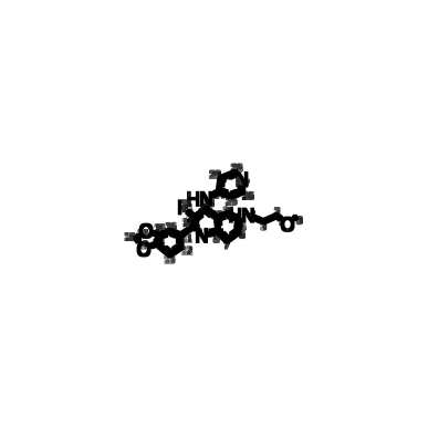 COCCNc1ccc2nc(-c3ccc4c(c3)OCO4)c(F)c(Nc3ccncc3)c2c1